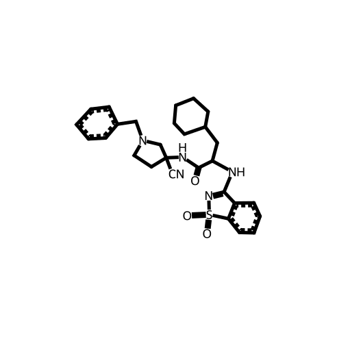 N#CC1(NC(=O)C(CC2CCCCC2)NC2=NS(=O)(=O)c3ccccc32)CCN(Cc2ccccc2)C1